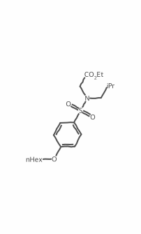 CCCCCCOc1ccc(S(=O)(=O)N(CC(=O)OCC)CC(C)C)cc1